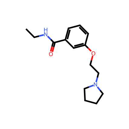 CCNC(=O)c1cccc(OCCN2CCCC2)c1